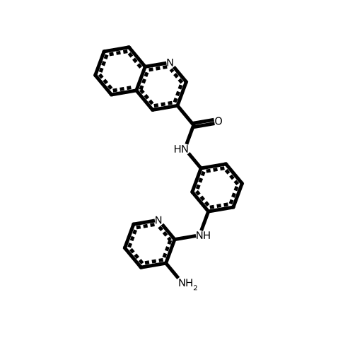 Nc1cccnc1Nc1cccc(NC(=O)c2cnc3ccccc3c2)c1